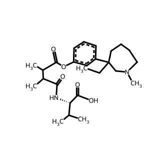 CCC1(c2cccc(OC(=O)C(C)C(C)C(=O)N[C@H](C(=O)O)C(C)C)c2)CCCCN(C)C1